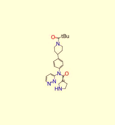 CC(C)(C)C(=O)N1CCC(c2ccc(N(C(=O)[C@H]3CCNC3)c3cccnn3)cc2)CC1